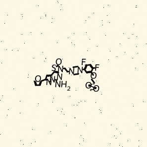 CS(=O)(=O)CCOc1cc(N2CCN(CCn3c(=O)sc4c3nc(N)n3nc(-c5ccco5)cc43)CC2)c(F)cc1F